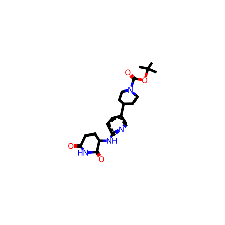 CC(C)(C)OC(=O)N1CCC(c2ccc(NC3CCC(=O)NC3=O)nc2)CC1